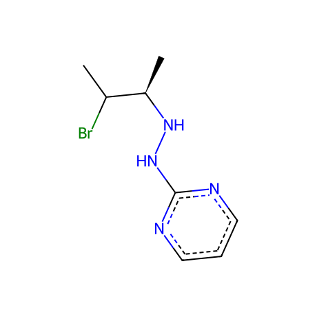 CC(Br)[C@@H](C)NNc1ncccn1